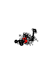 CC[C@H](C)[C@@H]([C@@H](CC(=O)N1CCC[C@H]1[C@H](OC)[C@@H](C)C(=O)N[C@@]1(C(=O)N2CCCCO2)C[C@@H]1c1ccccc1)OC)N(C)[C@H](C(=O)NC(=O)[C@H](C(C)C)N(C)CCCC(=O)N(C)NC(=O)CCCCCN1C(=O)C=CC1=O)C(C)C